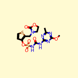 COc1nc(C)nc(NC(=O)NS(=O)(=O)Oc2ccsc2CN2CCOC2=O)n1